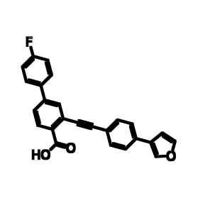 O=C(O)c1ccc(-c2ccc(F)cc2)cc1C#Cc1ccc(-c2ccoc2)cc1